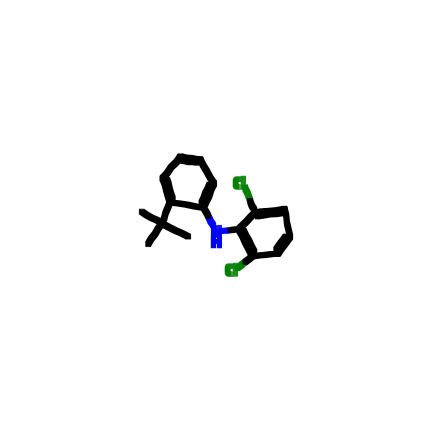 CC(C)(C)c1ccccc1Nc1c(Cl)cccc1Cl